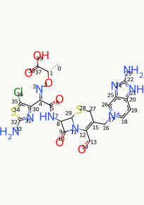 C[C@H](O/N=C(\C(=O)NC1C(=O)N2C(C=O)=C(C[n+]3ccc4[nH]c(N)nc4c3)CSC12)c1nc(N)sc1Cl)C(=O)O